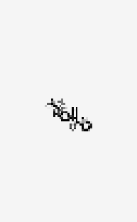 NC(=O)c1nc2ccc(NC(=O)c3ccccn3)cc2s1